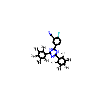 [2H]c1c([2H])c([2H])c(-c2nc(-c3ccc(F)c(C#N)c3)nc(-c3c([2H])c([2H])c([2H])c([2H])c3[2H])n2)c([2H])c1[2H]